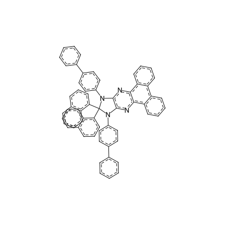 c1ccc(-c2ccc(N3c4nc5c6ccccc6c6ccccc6c5nc4N(c4ccc(-c5ccccc5)cc4)C3(c3cccc4ccccc34)c3cccc4ccccc34)cc2)cc1